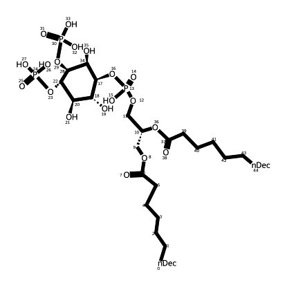 CCCCCCCCCCCCCCCC(=O)OC[C@H](COP(=O)(O)O[C@H]1[C@H](O)[C@@H](O)[C@H](OP(=O)(O)O)[C@@H](OP(=O)(O)O)[C@H]1O)OC(=O)CCCCCCCCCCCCCCC